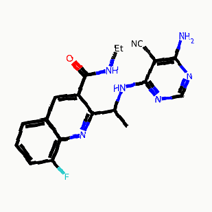 CCNC(=O)c1cc2cccc(F)c2nc1C(C)Nc1ncnc(N)c1C#N